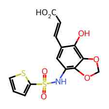 O=C(O)C=Cc1cc(NS(=O)(=O)c2cccs2)c2c(c1O)OCO2